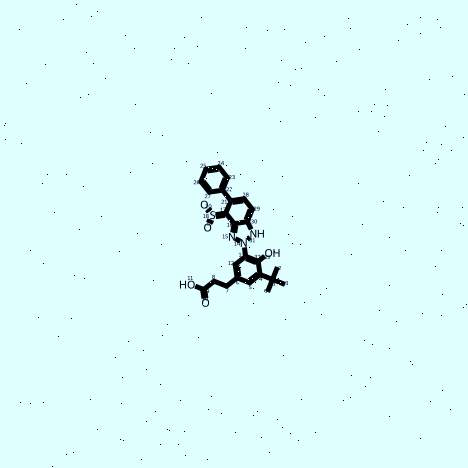 CC(C)(C)c1cc(CCC(=O)O)cc(-n2nc3c(=S(=O)=O)c(-c4ccccc4)ccc-3[nH]2)c1O